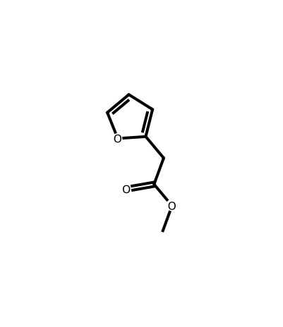 COC(=O)Cc1ccco1